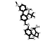 COc1ccc(F)c(-c2ccc(COc3ccc4c(c3)[C@]3(CC4)CCC3C(=O)O)cc2[C@@H](OC)C(C)(C)C)c1